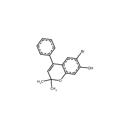 CC1(C)C=C(c2ccccc2)c2cc(Br)c(O)cc2O1